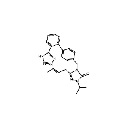 CC=CCc1nn(C(C)C)c(=O)n1Cc1ccc(-c2ccccc2-c2nnn[nH]2)cc1